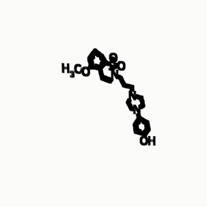 COc1cccc2c1C=CN(CCCN1CCN(c3ccc(O)cc3)CC1)S2(=O)=O